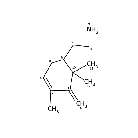 C=C1C(C)=CCC(CCN)C1(C)C